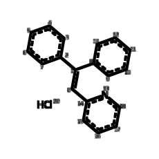 C(=C(c1ccccc1)c1ccccc1)c1ccccn1.Cl